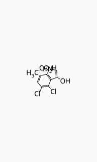 CC(=O)O.Oc1c[nH]c2ccc(Cl)c(Cl)c12